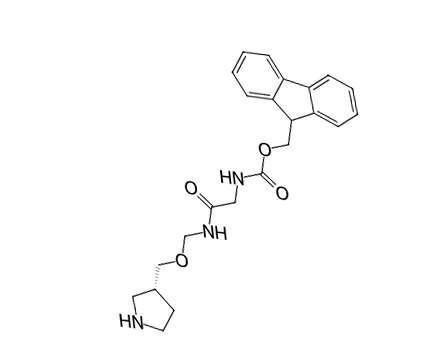 O=C(CNC(=O)OCC1c2ccccc2-c2ccccc21)NCOC[C@@H]1CCNC1